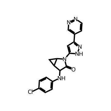 O=C1C(Nc2ccc(Cl)cc2)C2CC2N1c1cc(-c2ccnnc2)n[nH]1